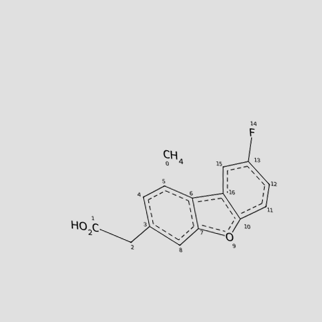 C.O=C(O)Cc1ccc2c(c1)oc1ccc(F)cc12